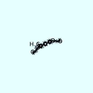 Cc1cc(C2=CCC(c3ccc(OCCCC4CO4)cc3)CC2)ccc1OCCCC1CO1